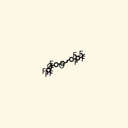 C/C(F)=C(\F)c1cc(F)c(C2CCC(/C=C/C3CCC(C4CCC(C(F)(F)Oc5cc(F)c(F)c(F)c5)CC4)OC3)CC2)c(F)c1